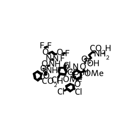 COC(=O)c1cc(Oc2ccc(Cl)cc2Cl)ccc1[N+](=O)[O-].COc1c(Cl)ccc(Cl)c1C(=O)O.CP(=O)(O)CCC(N)C(=O)O.O=C(Nc1nc(OC(F)F)cc(OC(F)F)n1)NS(=O)(=O)c1ccccc1C(=O)O